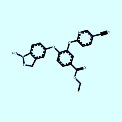 CCOC(=O)c1ccc(Oc2ccc3c(c2)COB3O)c(Oc2ccc(C#N)cn2)c1